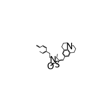 C=C/C=C\C(=C/C)CCN1C(=O)S/C(=C/c2cc3c4c(c2)CCCN4CCC3)C1C